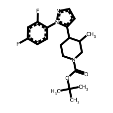 CC1CN(C(=O)OC(C)(C)C)CCC1c1ccnn1-c1ccc(F)cc1F